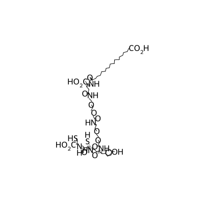 O=C(O)CCCCCCCCCCCCCCCCC(=O)N[C@@H](CCC(=O)NCCOCCOCC(=O)NCCOCCOCC(=O)N[C@@H](Cc1ccc(O)cc1)C(=O)CN[C@@H](CS)C(=O)CNC(CS)C(=O)O)C(=O)O